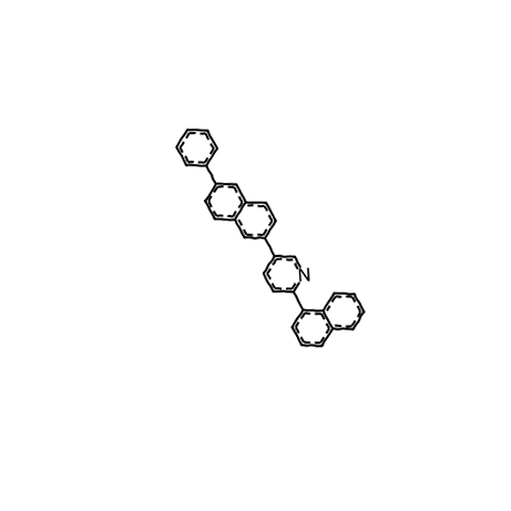 c1ccc(-c2ccc3cc(-c4ccc(-c5cccc6ccccc56)nc4)ccc3c2)cc1